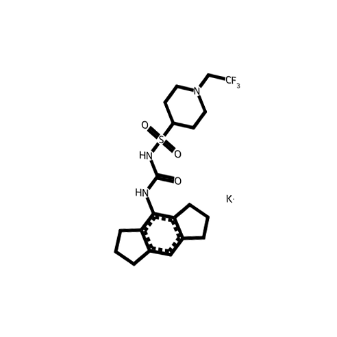 O=C(Nc1c2c(cc3c1CCC3)CCC2)NS(=O)(=O)C1CCN(CC(F)(F)F)CC1.[K]